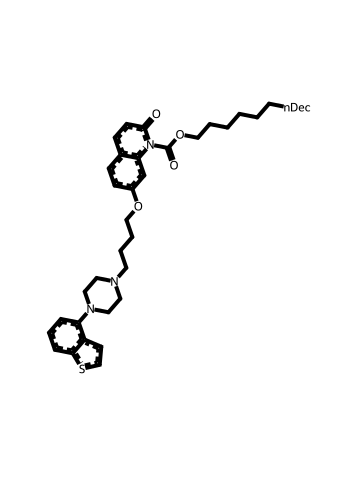 CCCCCCCCCCCCCCCCOC(=O)n1c(=O)ccc2ccc(OCCCCN3CCN(c4cccc5sccc45)CC3)cc21